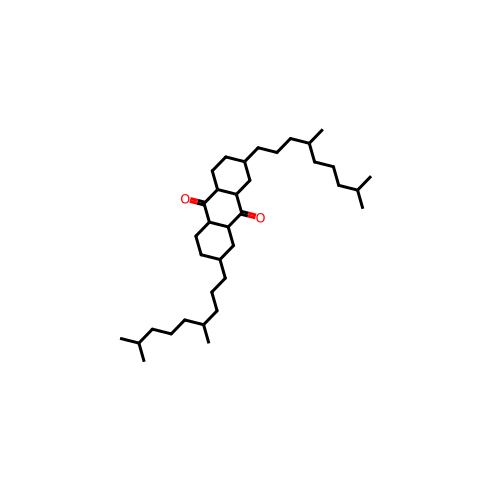 CC(C)CCCC(C)CCCC1CCC2C(=O)C3CCC(CCCC(C)CCCC(C)C)CC3C(=O)C2C1